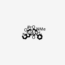 CN[C@@H](C)C(=O)N[C@H](C(=O)N1c2ncccc2C[C@@H]1OC(=O)Nc1ccccc1)C(C)C